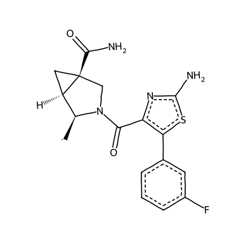 [CH2][C@H]1[C@H]2C[C@]2(C(N)=O)CN1C(=O)c1nc(N)sc1-c1cccc(F)c1